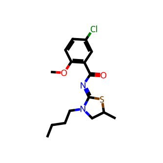 CCCCN1CC(C)SC1=NC(=O)c1cc(Cl)ccc1OC